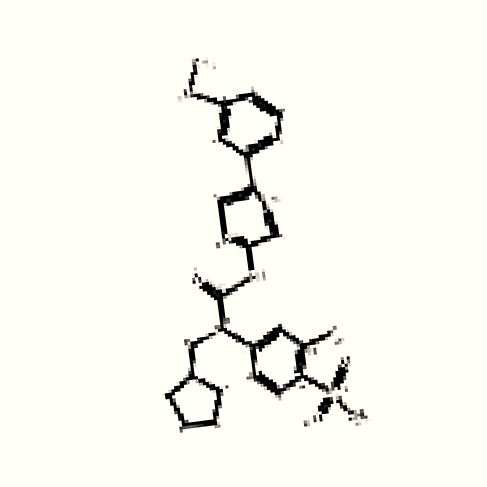 COc1cccc(-c2cnc(NC(=O)[C@H](CC3CCCC3)c3ccc(S(C)(=O)=O)c(Cl)c3)cn2)c1